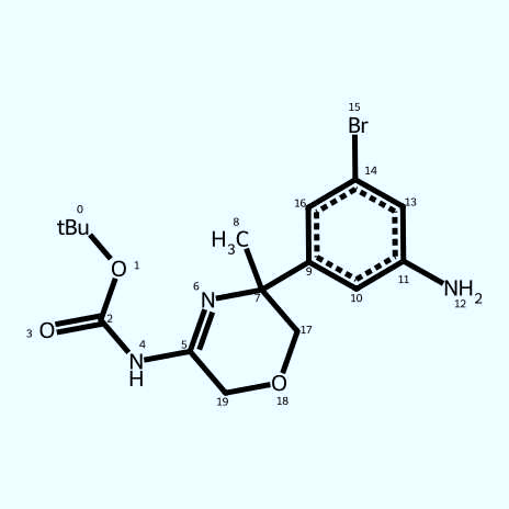 CC(C)(C)OC(=O)NC1=NC(C)(c2cc(N)cc(Br)c2)COC1